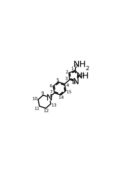 Nc1cc(-c2ccc(N3CCCCC3)cc2)n[nH]1